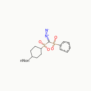 CCCCCCCCCC1CCC(S(=O)(=O)C(=[N+]=[N-])S(=O)(=O)c2ccccc2)CC1